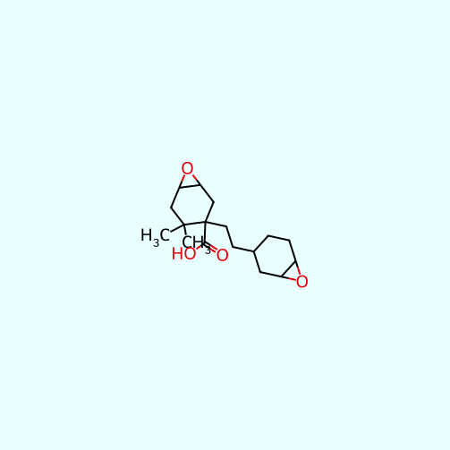 CC1(C)CC2OC2CC1(CCC1CCC2OC2C1)C(=O)O